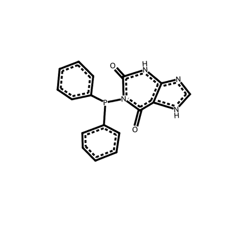 O=c1[nH]c2nc[nH]c2c(=O)n1P(c1ccccc1)c1ccccc1